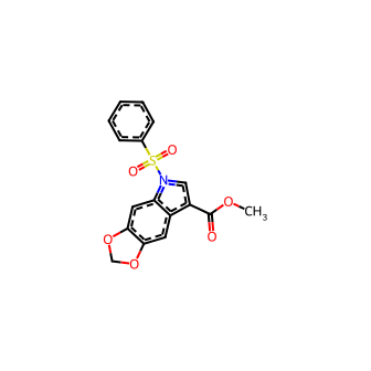 COC(=O)c1cn(S(=O)(=O)c2ccccc2)c2cc3c(cc12)OCO3